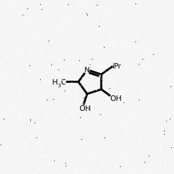 CC(C)C1=NC(C)C(O)C1O